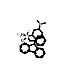 CN(C)C1CCC(C2c3ccccc3-c3ccccc32)[CH]([Ti]([NH2])([Cl])([Cl])[CH2]c2ccccc2)C1